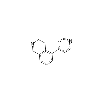 C1=NCCc2c1cccc2-c1ccncc1